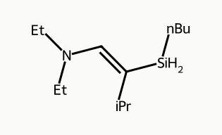 CCCC[SiH2]C(=CN(CC)CC)C(C)C